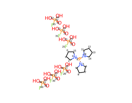 C1CCN(P(N2CCCC2)N2CCCC2)C1.O=P(O)(O)F.O=P(O)(O)F.O=P(O)(O)F.O=P(O)(O)F.O=P(O)(O)F.O=P(O)(O)F